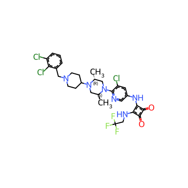 C[C@@H]1CN(c2ncc(Nc3c(NCC(F)(F)F)c(=O)c3=O)cc2Cl)[C@@H](C)CN1C1CCN(Cc2cccc(Cl)c2Cl)CC1